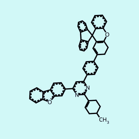 CC1CC=C(c2nc(-c3ccc(C4=CC5=C(CC4)Oc4ccccc4C54c5ccccc5-c5ccccc54)cc3)cc(-c3ccc4c(c3)oc3ccccc34)n2)CC1